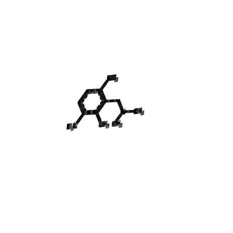 Cc1cc[c]([BiH2])c(CN(C)C)c1C